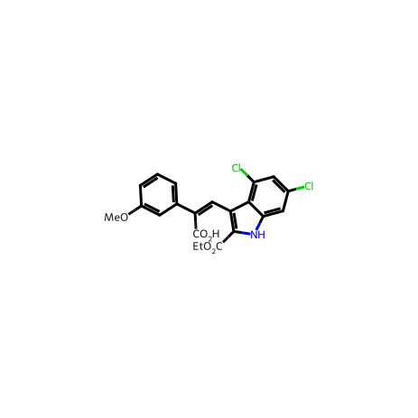 CCOC(=O)c1[nH]c2cc(Cl)cc(Cl)c2c1C=C(C(=O)O)c1cccc(OC)c1